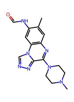 Cc1cc2nc(N3CCN(C)CC3)c3nncn3c2cc1NC=O